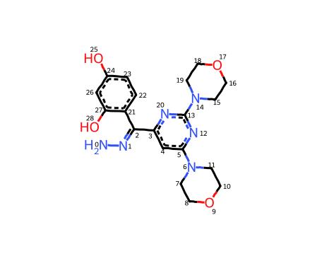 NN=C(c1cc(N2CCOCC2)nc(N2CCOCC2)n1)c1ccc(O)cc1O